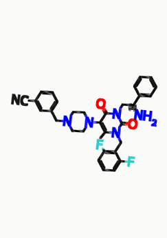 Cc1c(N2CCN(Cc3cccc(C#N)c3)CC2)c(=O)n(C[C@@H](N)c2ccccc2)c(=O)n1Cc1c(F)cccc1F